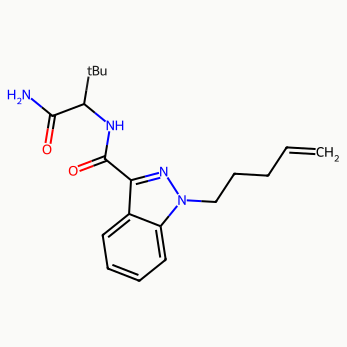 C=CCCCn1nc(C(=O)NC(C(N)=O)C(C)(C)C)c2ccccc21